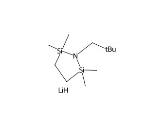 [CH2]C(C)(C)CN1[Si](C)(C)CC[Si]1(C)C.[LiH]